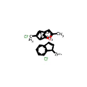 CC1=C2c3cc(C)oc3C1[Si]2(C)C.[Cl-].[Cl-].[Zr+2][CH]1C=Cc2ccccc21